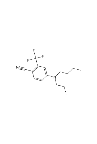 CCCCN(CCC)c1ccc(C#N)c(C(F)(F)F)c1